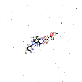 COC(=O)CCS(=O)(=O)N1CC=C(c2[nH]c(-c3ccc(F)cn3)nc2Cl)[C@H](C)C1